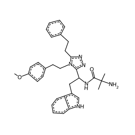 COc1ccc(CCn2c(CCc3ccccc3)nnc2C(Cc2c[nH]c3ccccc23)NC(=O)C(C)(C)N)cc1